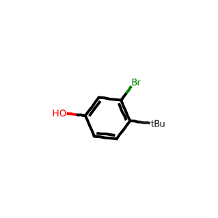 CC(C)(C)c1ccc(O)cc1Br